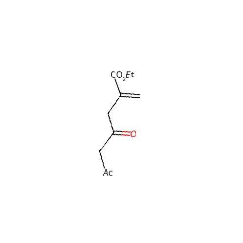 C=C(CC(=O)CC(C)=O)C(=O)OCC